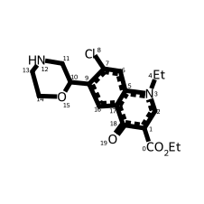 CCOC(=O)c1cn(CC)c2cc(Cl)c(C3CNCCO3)cc2c1=O